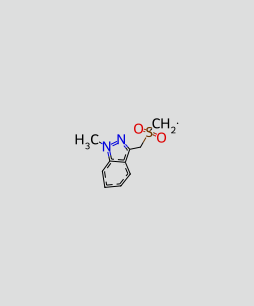 [CH2]S(=O)(=O)Cc1nn(C)c2ccccc12